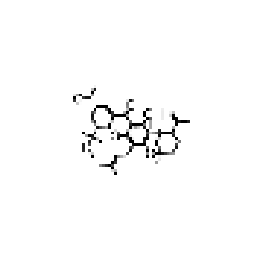 C=C(C)C1CC[C@]2(C)C[C@@H]1c1c(O)c3c(c(CC=C(C)C)c1O2)OC1C(=C[C@@H](C(C)=O)C[C@@H]1C(C)(C)OC)C3=O